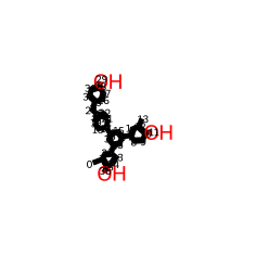 Cc1cc(-c2cc(-c3ccc(O)c(C)c3)cc(C3CC4CC3CC4Cc3ccc(O)cc3)c2)ccc1O